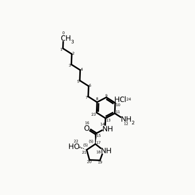 CCCCCCCCc1ccc(N)c(NC(=O)[C@H]2NCC[C@@H]2O)c1.Cl